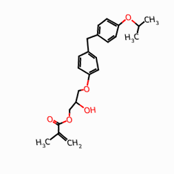 C=C(C)C(=O)OCC(O)COc1ccc(Cc2ccc(OC(C)C)cc2)cc1